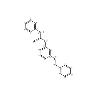 O=C(Nc1ccccc1)Oc1cccc(OCc2ccccc2)c1